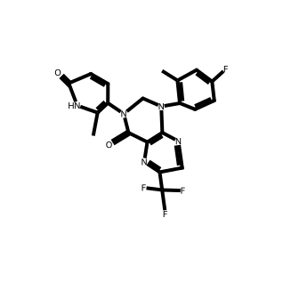 Cc1cc(F)ccc1N1CN(c2ccc(=O)[nH]c2C)C(=O)c2nc(C(F)(F)F)cnc21